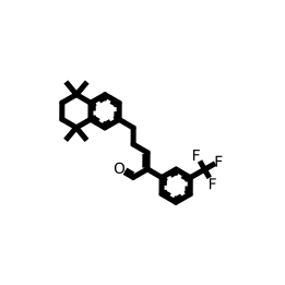 CC1(C)CCC(C)(C)c2cc(CCC=C(C=O)c3cccc(C(F)(F)F)c3)ccc21